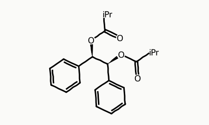 CC(C)C(=O)O[C@H](c1ccccc1)[C@@H](OC(=O)C(C)C)c1ccccc1